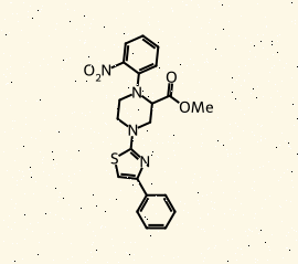 COC(=O)C1CN(c2nc(-c3ccccc3)cs2)CCN1c1ccccc1[N+](=O)[O-]